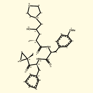 COc1ccc(C[C@H](NC(=O)[C@H](C)CC(O)CN2CCOCC2)C(=O)N[C@@H](Cc2ccccc2)C(=O)[C@@]2(C)CO2)cc1